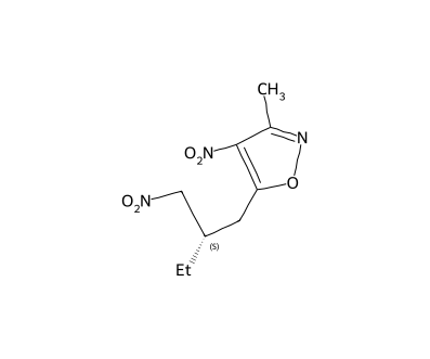 CC[C@@H](Cc1onc(C)c1[N+](=O)[O-])C[N+](=O)[O-]